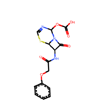 O=C(COc1ccccc1)NC1C(=O)N2C(OC(=O)O)N=CSC12